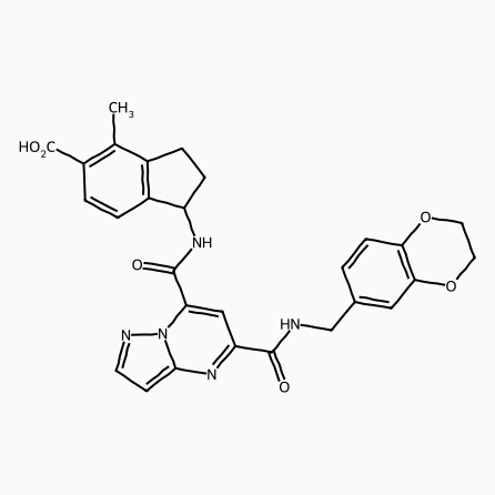 Cc1c(C(=O)O)ccc2c1CCC2NC(=O)c1cc(C(=O)NCc2ccc3c(c2)OCCO3)nc2ccnn12